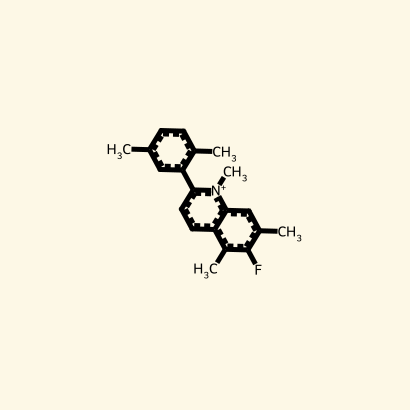 Cc1ccc(C)c(-c2ccc3c(C)c(F)c(C)cc3[n+]2C)c1